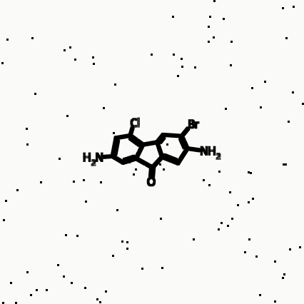 Nc1cc(Cl)c2c(c1)C(=O)c1cc(N)c(Br)cc1-2